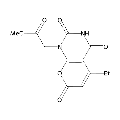 CCc1cc(=O)oc2c1c(=O)[nH]c(=O)n2CC(=O)OC